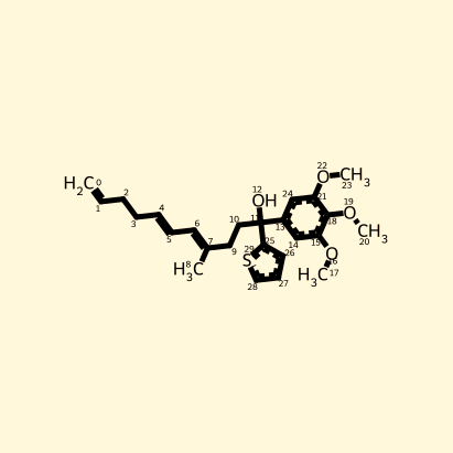 C=CCCC=CC=C(C)CCC(O)(c1cc(OC)c(OC)c(OC)c1)c1cccs1